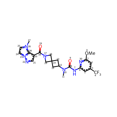 COc1cc(C(F)(F)F)cc(NC(=O)N(C)C2CC3(C2)CN(C(=O)c2cnn4ccn(C)c24)C3)n1